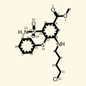 COC(=O)c1cc(NCCCCCl)c(Sc2ccccc2)c(S(N)(=O)=O)c1